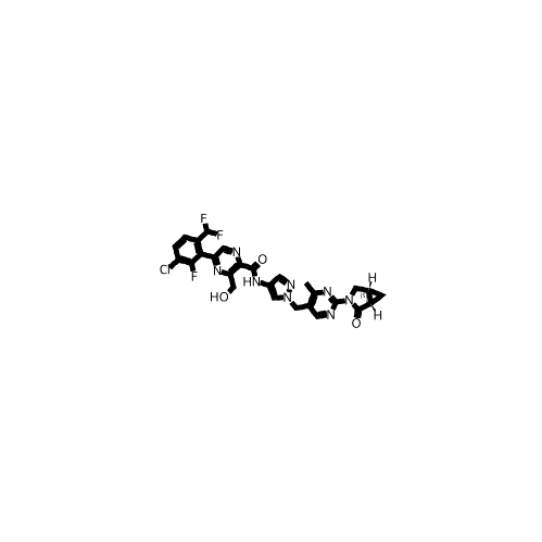 Cc1nc(N2C[C@H]3C[C@H]3C2=O)ncc1Cn1cc(NC(=O)c2ncc(-c3c(C(F)F)ccc(Cl)c3F)nc2CO)cn1